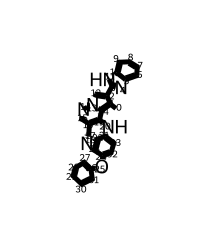 Cc1c(-c2nc3ccccc3[nH]2)cn2ncc(C#N)c(Nc3ccc(Oc4ccccc4)cc3)c12